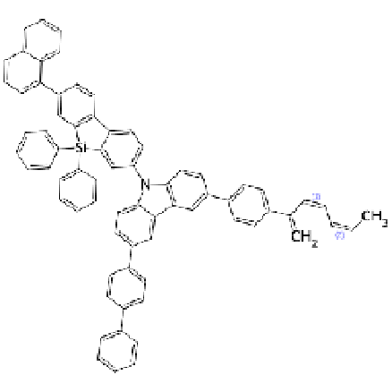 C=C(/C=C\C=C/C)c1ccc(-c2ccc3c(c2)c2cc(-c4ccc(-c5ccccc5)cc4)ccc2n3-c2ccc3c(c2)[Si](c2ccccc2)(c2ccccc2)c2cc(-c4cccc5ccccc45)ccc2-3)cc1